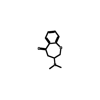 CN(C)C1COc2ccccc2C(=O)C1